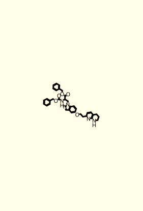 O=C(NC(Cn1ncc2cc(OCCc3ccc4c(n3)NCCC4)ccc21)C(=O)OCc1ccccc1)OCc1ccccc1